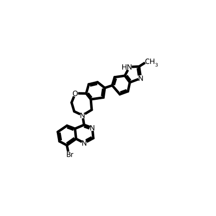 Cc1nc2ccc(-c3ccc4c(c3)CN(c3ncnc5c(Br)cccc35)CCO4)cc2[nH]1